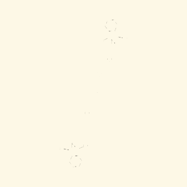 O=C1c2ccccc2C(=O)N1CCOCCOCCSSCCOCCOCCN1C(=O)c2ccccc2C1=O